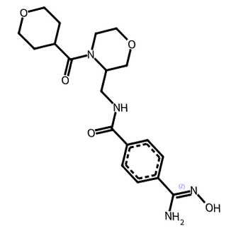 N/C(=N\O)c1ccc(C(=O)NCC2COCCN2C(=O)C2CCOCC2)cc1